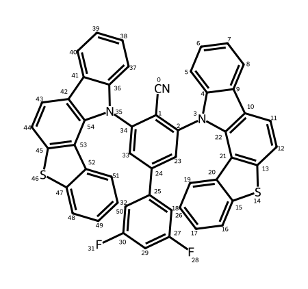 N#Cc1c(-n2c3ccccc3c3ccc4sc5ccccc5c4c32)cc(-c2cc(F)cc(F)c2)cc1-n1c2ccccc2c2ccc3sc4ccccc4c3c21